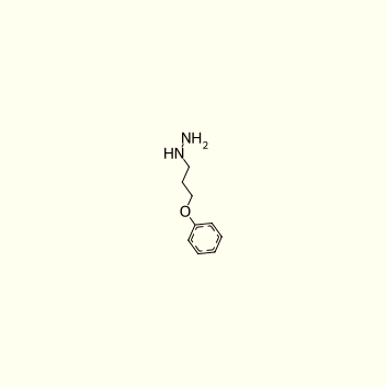 NNCCCOc1ccccc1